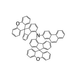 c1ccc2c(c1)Oc1ccccc1C21c2ccccc2-c2c(N(c3ccc4c(ccc5ccccc54)c3)c3cccc4c3-c3ccccc3C43c4ccccc4Oc4ccccc43)cccc21